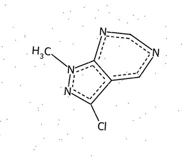 Cn1nc(Cl)c2cncnc21